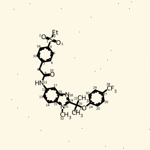 CCS(=O)(=O)c1ccc(CC(=O)Nc2ccc3c(c2)nc(C(C)(C)Oc2ccc(C(F)(F)F)cc2)n3C)cc1